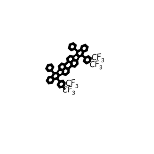 FC(F)(F)c1ccc(-c2c3c(c(-c4ccccc4)c4ccccc24)-c2ccc4c5ccc6c7c(ccc(c8ccc-3c2c48)c75)-c2c-6c(-c3ccccc3)c3ccccc3c2-c2ccc(C(F)(F)F)c(C(F)(F)F)c2)cc1C(F)(F)F